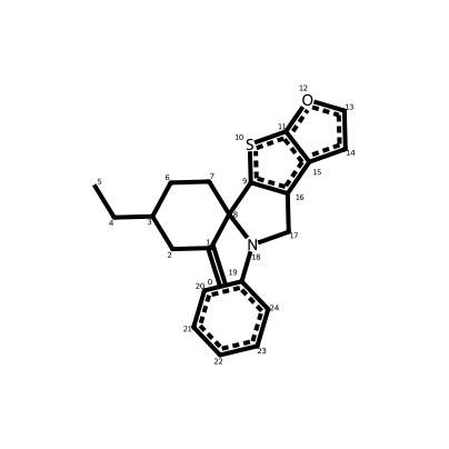 C=C1CC(CC)CCC12c1sc3occc3c1CN2c1ccccc1